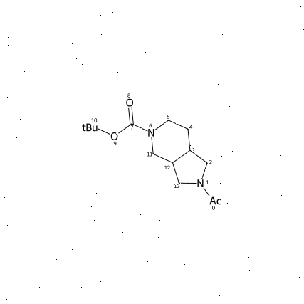 CC(=O)N1CC2CCN(C(=O)OC(C)(C)C)CC2C1